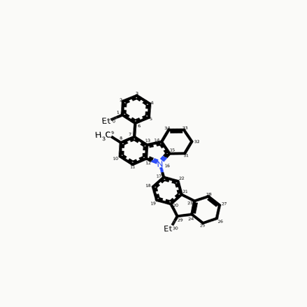 CCc1ccccc1-c1c(C)ccc2c1c1c(n2-c2ccc3c(c2)C2=C(CCC=C2)C3CC)CCC=C1